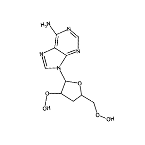 Nc1ncnc2c1ncn2C1OC(COO)CC1OO